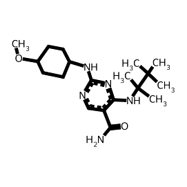 COC1CCC(Nc2ncc(C(N)=O)c(NC(C)(C)C(C)(C)C)n2)CC1